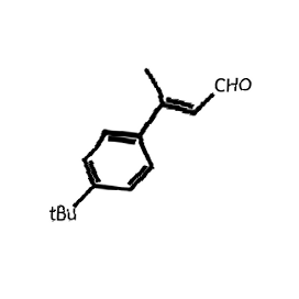 C/C(=C\C=O)c1ccc(C(C)(C)C)cc1